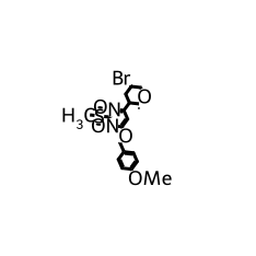 COc1ccc(COc2cc(C3[CH]OCC(Br)C3)nc(S(C)(=O)=O)n2)cc1